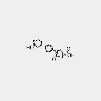 O=C(O)[C@H]1CN(c2ccc([C@H]3CCS[C@H](O)C3)cc2)C(=O)O1